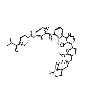 COc1nc(-c2ccnc(-c3cccc(Nc4nccc(CNC5CCN(C(=O)C(C)C)CC5)c4F)c3Cl)c2Cl)ccc1CNCC1CCC(=O)N1